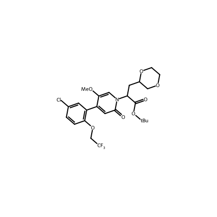 COc1cn(C(CC2COCCO2)C(=O)OC(C)(C)C)c(=O)cc1-c1cc(Cl)ccc1OCC(F)(F)F